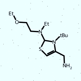 CCOCCN(CC)C1SC=C(CN)N1C(C)(C)C